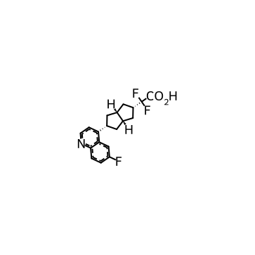 O=C(O)C(F)(F)[C@H]1C[C@H]2C[C@@H](c3ccnc4ccc(F)cc34)C[C@H]2C1